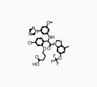 COc1cc(NC(C(=O)N2CCc3c(C)cc(OC(F)(F)F)cc32)c2ccc(Cl)cc2OCCCC(=O)O)cc(-n2cncn2)c1